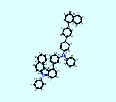 C1=CC(c2ccc(-c3cccc4ccccc34)cc2)CC=C1N(c1ccccc1)c1cccc(-c2cccc3c2c2c4ccccc4ccc2n3-c2ccccc2)c1